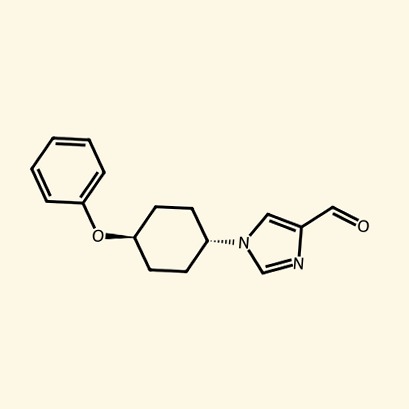 O=Cc1cn([C@H]2CC[C@H](Oc3ccccc3)CC2)cn1